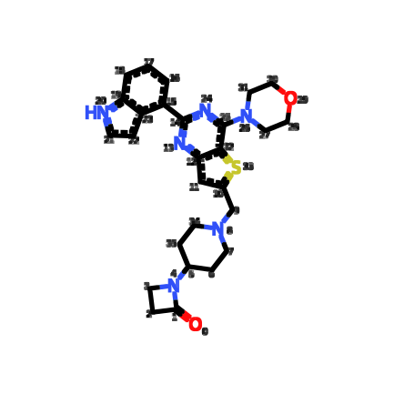 O=C1CCN1C1CCN(Cc2cc3nc(-c4cccc5[nH]ccc45)nc(N4CCOCC4)c3s2)CC1